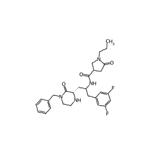 CCCN1CC(C(=O)NC(Cc2cc(F)cc(F)c2)C[C@@H]2NCCN(Cc3ccccc3)C2=O)CC1=O